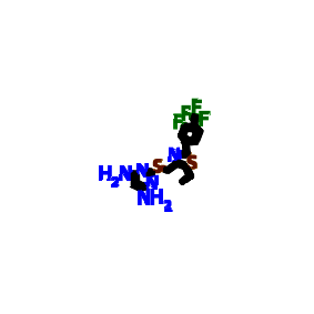 CCc1sc(-c2ccc(C(F)(F)F)c(F)c2)nc1CSc1nc(N)cc(N)n1